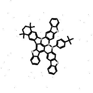 CC(C)(C)c1ccc(N2B3c4cc5oc6ccccc6c5cc4-n4c5cc6c(cc5c5c7oc8ccccc8c7c(c3c54)-c3cc4c(cc32)sc2ccccc24)C(C)(C)CCC6(C)C)cc1